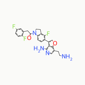 NCCc1cnc(N)c2c(-c3ccc4c(c3F)CCN4C(=O)Cc3cc(F)ccc3F)coc12